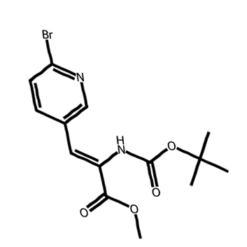 COC(=O)/C(=C/c1ccc(Br)nc1)NC(=O)OC(C)(C)C